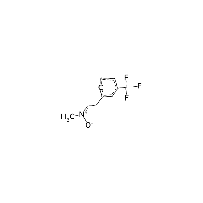 C/[N+]([O-])=C/Cc1cccc(C(F)(F)F)c1